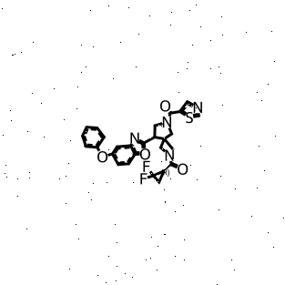 O=C(c1cncs1)N1CC(c2nc3cc(Oc4ccccc4)ccc3o2)C2(C1)CN(C(=O)[C@H]1CC1(F)F)C2